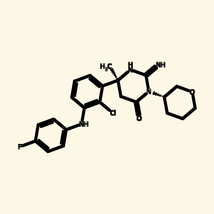 C[C@@]1(c2cccc(Nc3ccc(F)cc3)c2Cl)CC(=O)N([C@H]2CCCOC2)C(=N)N1